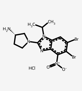 CC(C)n1c(N2CC[C@H](N)C2)nc2c([N+](=O)[O-])c(Br)c(Br)cc21.Cl